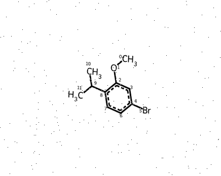 COc1cc(Br)ccc1C(C)C